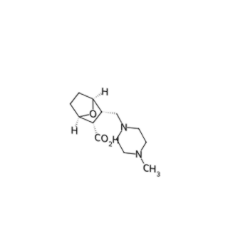 CN1CCN(C[C@@H]2[C@H](C(=O)O)[C@H]3CC[C@@H]2O3)CC1